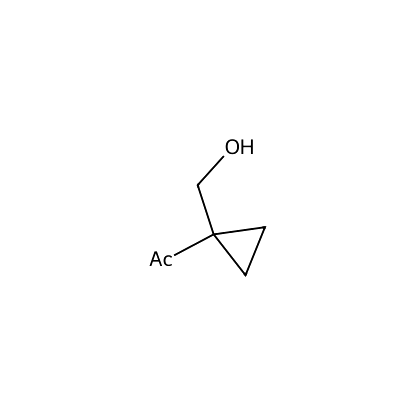 CC(=O)C1(CO)CC1